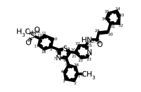 Cc1cccc(-c2nc(-c3ccc(S(C)(=O)=O)cc3)sc2-c2ccnc(NC(=O)C=Cc3ccccc3)c2)c1